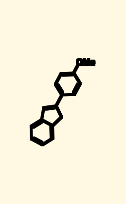 COc1ccc(C2=Cc3ccccc3C2)cc1